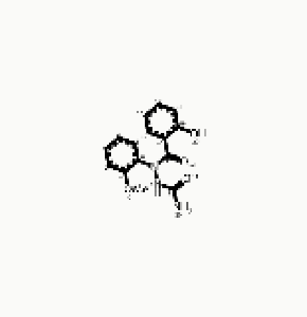 COc1ccccc1N(NC(N)=O)C(=O)c1ccccc1O